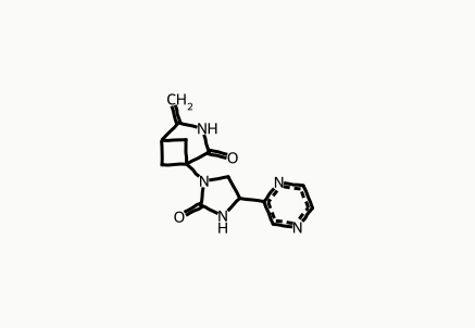 C=C1NC(=O)C2(N3CC(c4cnccn4)NC3=O)CC1C2